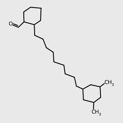 CC1CC(C)CC(CCCCCCCCCC2CCCCC2C=O)C1